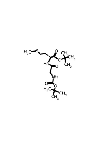 CSCC[C@H](NC(=O)CNC(=O)OC(C)(C)C)C(=O)OC(C)(C)C